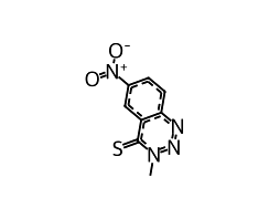 Cn1nnc2ccc([N+](=O)[O-])cc2c1=S